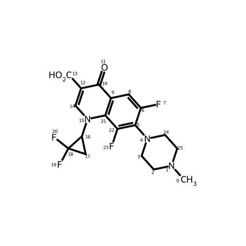 CN1CCN(c2c(F)cc3c(=O)c(C(=O)O)cn(C4CC4(F)F)c3c2F)CC1